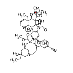 CC[C@]1(O)C[C@H]2CN(CCc3c([nH]c4ccc(C#N)cc34)[C@@](C(=O)OC)(c3cc4c(cc3OC)N(C=O)[C@H]3[C@@](O)(C(=O)OC)[C@H](OC(C)=O)[C@]5(CC)C=CCN6CC[C@]43[C@@H]65)C2)C1